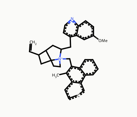 C=CC1CC23CC[N+]2(Cc2c(C)c4ccccc4c4ccccc24)C(Cc2ccnc4ccc(OC)cc24)CC13